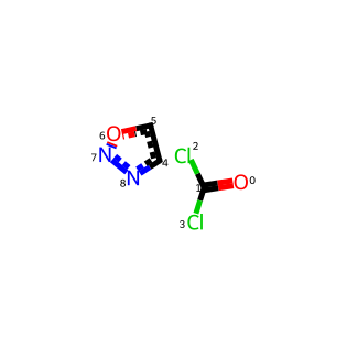 O=C(Cl)Cl.c1conn1